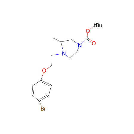 CC1CN(C(=O)OC(C)(C)C)CCN1CCOc1ccc(Br)cc1